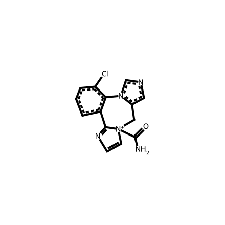 NC(=O)[N+]12C=CN=C1c1cccc(Cl)c1-n1cncc1C2